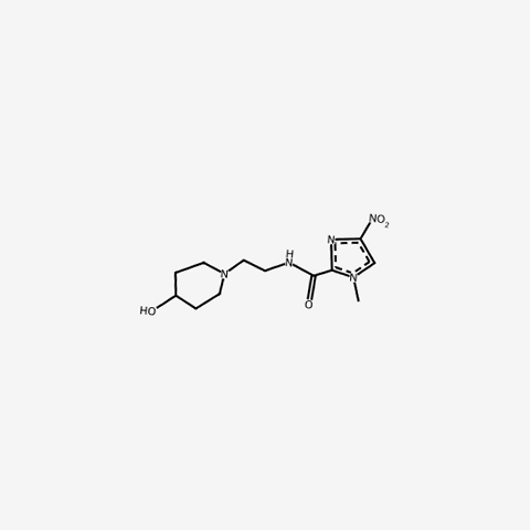 Cn1cc([N+](=O)[O-])nc1C(=O)NCCN1CCC(O)CC1